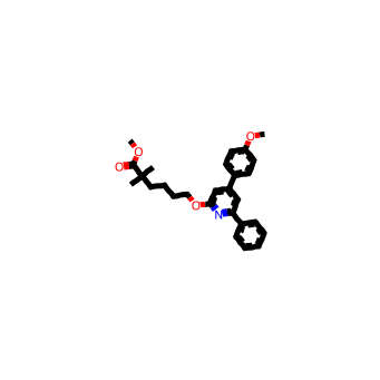 COC(=O)C(C)(C)CCCCOc1cc(-c2ccc(OC)cc2)cc(-c2ccccc2)n1